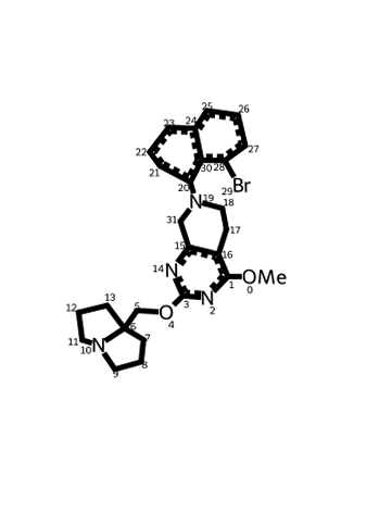 COc1nc(OCC23CCCN2CCC3)nc2c1CCN(c1cccc3cccc(Br)c13)C2